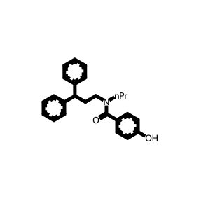 CCCN(CCC(c1ccccc1)c1ccccc1)C(=O)c1ccc(O)cc1